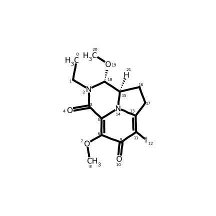 CCN1C(=O)c2c(OC)c(=O)c(I)c3n2[C@H](CC3)[C@H]1OC